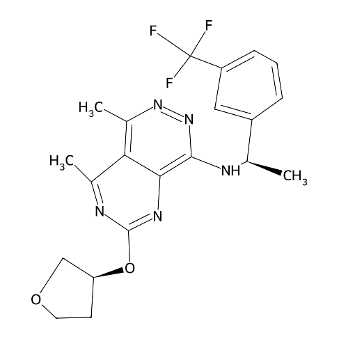 Cc1nnc(N[C@H](C)c2cccc(C(F)(F)F)c2)c2nc(O[C@H]3CCOC3)nc(C)c12